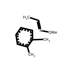 CC=NOC.Cc1ccccc1C